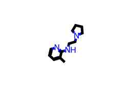 Cc1cccnc1NCCN1CCCC1